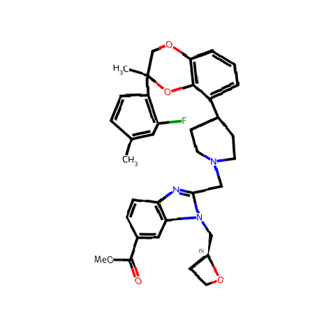 COC(=O)c1ccc2nc(CN3CCC(c4cccc5c4OC(C)(c4ccc(C)cc4F)CO5)CC3)n(C[C@@H]3CCO3)c2c1